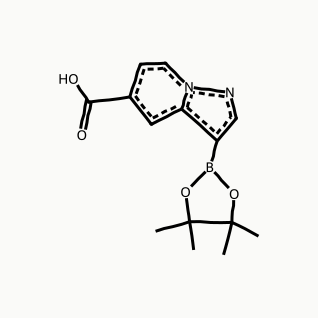 CC1(C)OB(c2cnn3ccc(C(=O)O)cc23)OC1(C)C